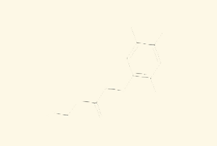 CCOC(=O)CCc1cc(I)c(O)cc1F